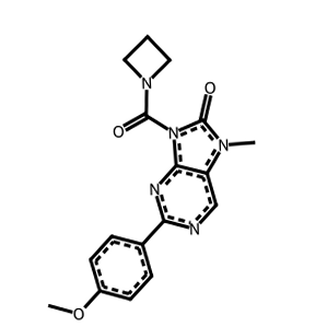 COc1ccc(-c2ncc3c(n2)n(C(=O)N2CCC2)c(=O)n3C)cc1